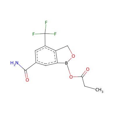 CCC(=O)OB1OCc2c1cc(C(N)=O)cc2C(F)(F)F